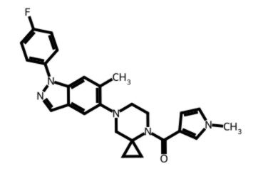 Cc1cc2c(cnn2-c2ccc(F)cc2)cc1N1CCN(C(=O)c2ccn(C)c2)C2(CC2)C1